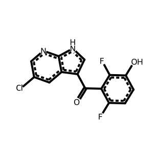 O=C(c1c(F)ccc(O)c1F)c1c[nH]c2ncc(Cl)cc12